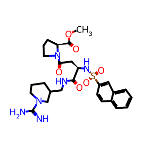 COC(=O)[C@@H]1CCCN1C(=O)C[C@@H](NS(=O)(=O)c1ccc2ccccc2c1)C(=O)NCC1CCCN(C(=N)N)C1